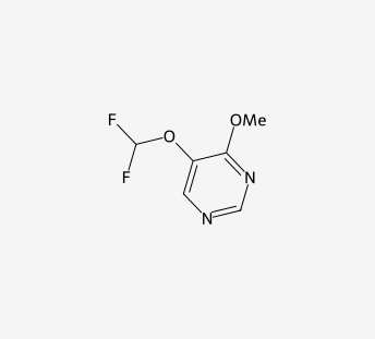 COc1ncncc1OC(F)F